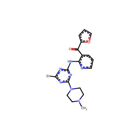 CCc1nc(Nc2ncccc2C(=O)c2ccco2)nc(N2CCN(C)CC2)n1